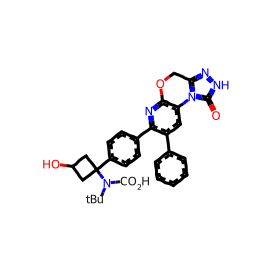 CC(C)(C)N(C(=O)O)C1(c2ccc(-c3nc4c(cc3-c3ccccc3)-n3c(n[nH]c3=O)CO4)cc2)CC(O)C1